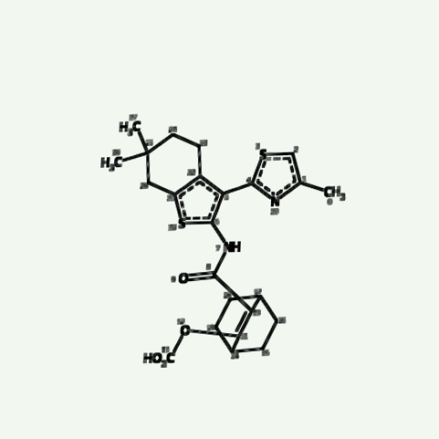 Cc1csc(-c2c(NC(=O)C3=C(OC(=O)O)C4CCC3CC4)sc3c2CCC(C)(C)C3)n1